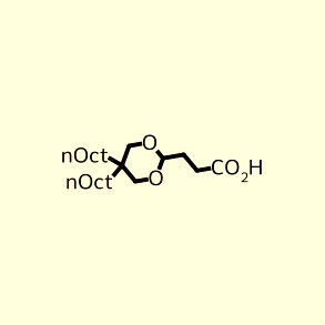 CCCCCCCCC1(CCCCCCCC)COC(CCC(=O)O)OC1